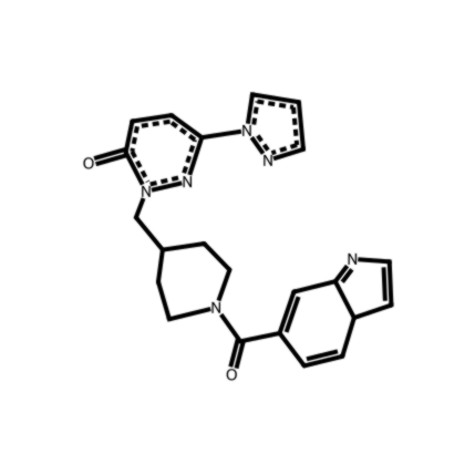 O=C(C1=CC2=NC=CC2C=C1)N1CCC(Cn2nc(-n3cccn3)ccc2=O)CC1